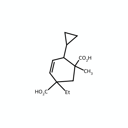 CCC1(C(=O)O)C=CC(C2CC2)C(C)(C(=O)O)C1